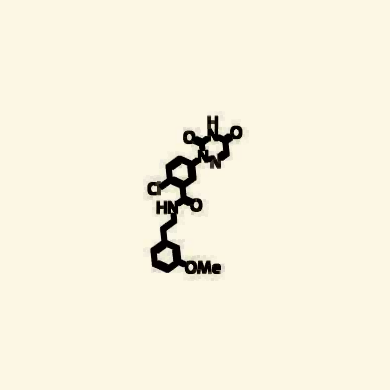 COc1cccc(CCNC(=O)c2cc(-n3ncc(=O)[nH]c3=O)ccc2Cl)c1